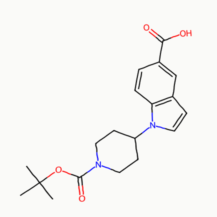 CC(C)(C)OC(=O)N1CCC(n2ccc3cc(C(=O)O)ccc32)CC1